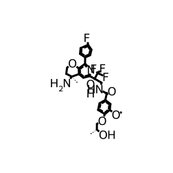 COc1cc(C(=O)NCC(O)(c2cc3c(c(-c4ccc(F)cc4)n2)OCC[C@]3(C)N)C(F)(F)F)ccc1OC[C@@H](C)O